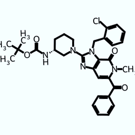 Cn1c(C(=O)c2ccccc2)cc2nc(N3CCC[C@@H](NC(=O)OC(C)(C)C)C3)n(Cc3ccccc3Cl)c2c1=O